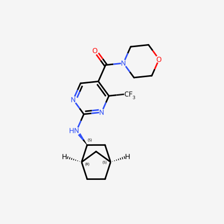 O=C(c1cnc(N[C@H]2C[C@H]3CC[C@@H]2C3)nc1C(F)(F)F)N1CCOCC1